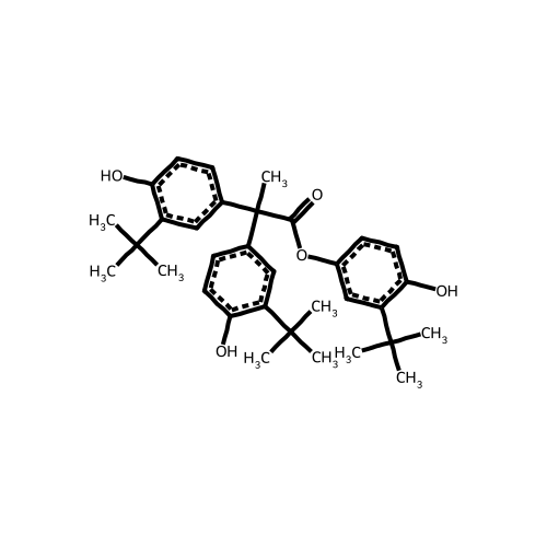 CC(C)(C)c1cc(OC(=O)C(C)(c2ccc(O)c(C(C)(C)C)c2)c2ccc(O)c(C(C)(C)C)c2)ccc1O